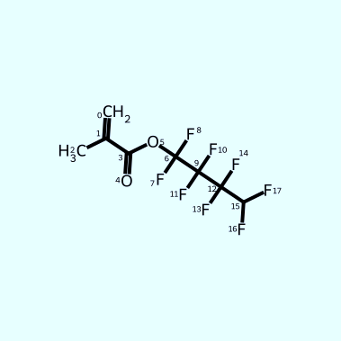 C=C(C)C(=O)OC(F)(F)C(F)(F)C(F)(F)C(F)F